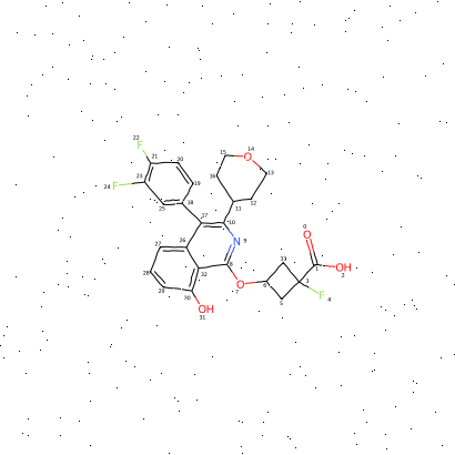 O=C(O)C1(F)CC(Oc2nc(C3CCOCC3)c(-c3ccc(F)c(F)c3)c3cccc(O)c23)C1